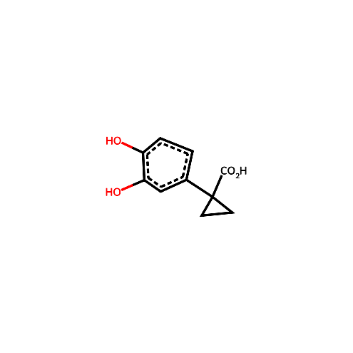 O=C(O)C1(c2ccc(O)c(O)c2)CC1